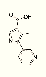 O=C(O)c1cnn(-c2cccnc2)c1I